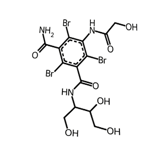 NC(=O)c1c(Br)c(NC(=O)CO)c(Br)c(C(=O)NC(CO)C(O)CO)c1Br